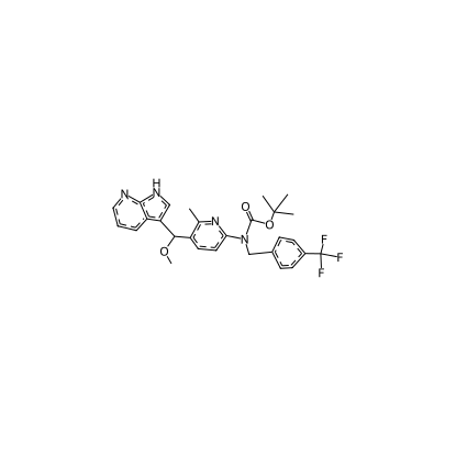 COC(c1ccc(N(Cc2ccc(C(F)(F)F)cc2)C(=O)OC(C)(C)C)nc1C)c1c[nH]c2ncccc12